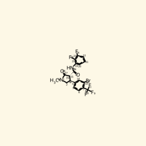 CN1C[C@H](c2ccc(C(F)(F)F)c(Br)c2)[C@@H](C(=O)Nc2cccc(F)c2F)C1=O